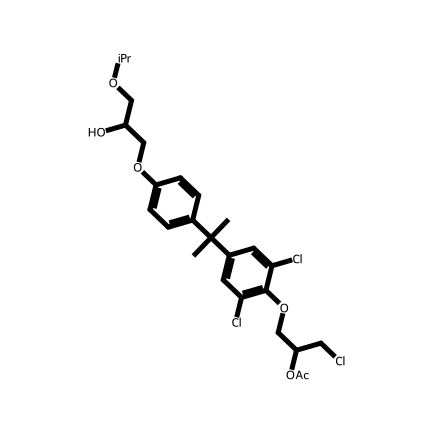 CC(=O)OC(CCl)COc1c(Cl)cc(C(C)(C)c2ccc(OCC(O)COC(C)C)cc2)cc1Cl